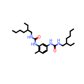 CCCCC(CC)CNC(=O)Nc1ccc(C)c(NC(=O)NCC(CC)CCCC)c1